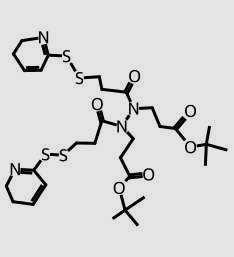 CC(C)(C)OC(=O)CCN(C(=O)CCSSC1=NCCC=C1)N(CCC(=O)OC(C)(C)C)C(=O)CCSSC1=NCCC=C1